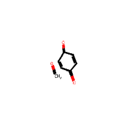 C=O.O=C1C=CC(=O)C=C1